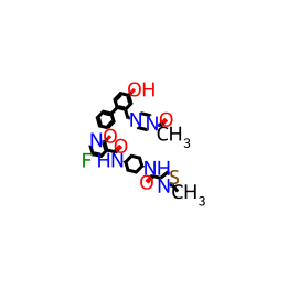 CC(=O)N1CCN(Cc2cc(O)ccc2-c2cccc(Oc3ncc(F)cc3C(=O)N[C@H]3CC[C@@H](NC(=O)C4CSC(C)=N4)CC3)c2)CC1